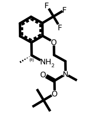 C[C@@H](N)c1cccc(C(F)(F)F)c1OCCN(C)C(=O)OC(C)(C)C